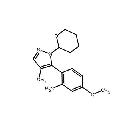 COc1ccc(-c2c(N)cnn2C2CCCCO2)c(N)c1